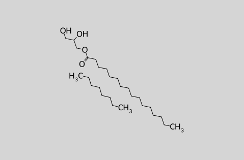 CCCCCCCC.CCCCCCCCCCCCCCCC(=O)OCC(O)CO